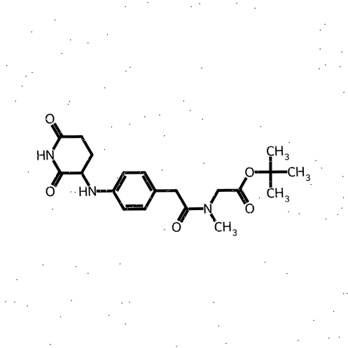 CN(CC(=O)OC(C)(C)C)C(=O)Cc1ccc(NC2CCC(=O)NC2=O)cc1